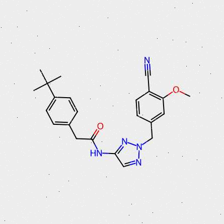 COc1cc(Cn2ncc(NC(=O)Cc3ccc(C(C)(C)C)cc3)n2)ccc1C#N